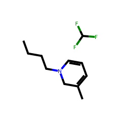 CCCCN1C=CC=C(C)C1.FC(F)F